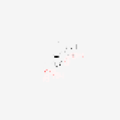 Cc1cc(CC(C(=O)O)C(C)C)ccc1B(O)O